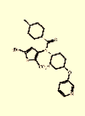 CC(C)(C)c1cc(N(C(=O)[C@H]2CC[C@H](C)CC2)[C@H]2CC[C@H](Oc3cccnc3)CC2)c(C(=O)O)s1